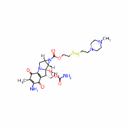 CO[C@@]12[C@H](COC(N)=O)C3=C(C(=O)C(C)=C(N)C3=O)N1C[C@H]1[C@@H]2N1C(=O)OCCSSCCN1CCN(C)CC1